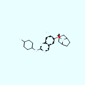 CC(C)(C)C1CCC(Nc2ncc3cc(C(=O)N4C5CCC4CC(C(=O)O)C5)ccc3n2)CC1